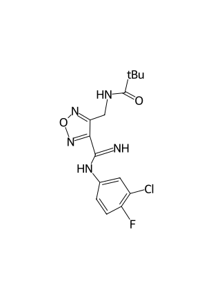 CC(C)(C)C(=O)NCc1nonc1C(=N)Nc1ccc(F)c(Cl)c1